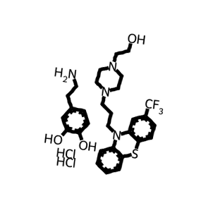 Cl.Cl.NCCc1ccc(O)c(O)c1.OCCN1CCN(CCCN2c3ccccc3Sc3ccc(C(F)(F)F)cc32)CC1